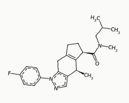 CC(C)CN(C)C(=O)[C@@H]1CCC2=C1[C@@H](C)c1cnn(-c3ccc(F)cc3)c1C2